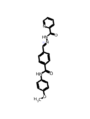 COc1ccc(NC(=O)c2ccc(/C=N/NC(=O)c3ccccn3)cc2)cc1